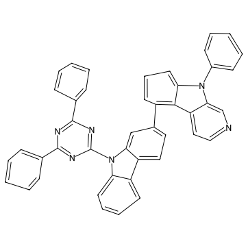 c1ccc(-c2nc(-c3ccccc3)nc(-n3c4ccccc4c4ccc(-c5cccc6c5c5ccncc5n6-c5ccccc5)cc43)n2)cc1